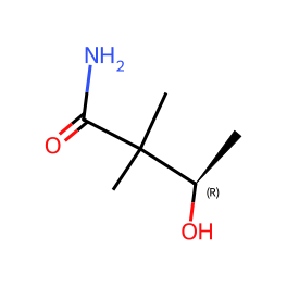 C[C@@H](O)C(C)(C)C(N)=O